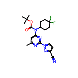 Cc1cc(N(C(=O)OC(C)(C)C)C2CCC(F)(F)CC2)nc(-n2ccc(C#N)n2)n1